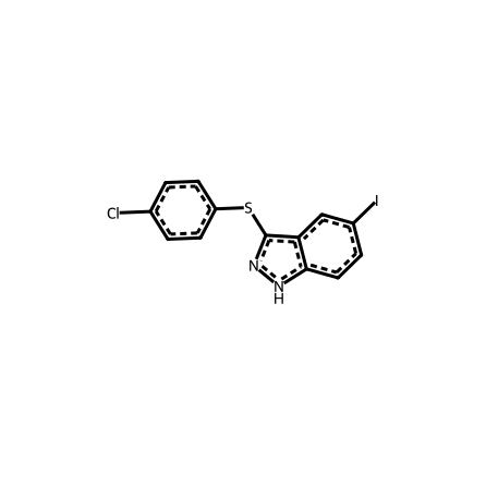 Clc1ccc(Sc2n[nH]c3ccc(I)cc23)cc1